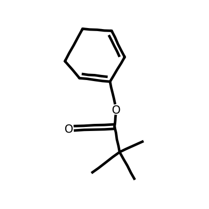 CC(C)(C)C(=O)OC1=CCCC=C1